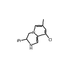 CC1=CN2CC(C(C)C)NC=C2C(Cl)=C1